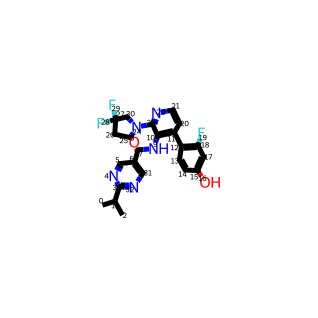 CC(C)c1ncc(C(=O)Nc2c(-c3ccc(O)cc3F)ccnc2N2CCC(F)(F)C2)cn1